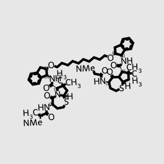 CNCC(=O)N[C@H]1CCS[C@H]2CC(C)(C)[C@@H](C(=O)N[C@H]3c4ccccc4C[C@H]3OCCCCCCCCCCO[C@@H]3Cc4ccccc4[C@@H]3NC(=O)[C@H]3N4C(=O)[C@@H](NC(=O)[C@H](C)NC)CCS[C@H]4CC3(C)C)C2C1=O